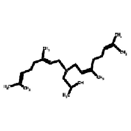 CC(C)=CCCC(C)=CCN(CC=C(C)CCC=C(C)C)CC(C)O